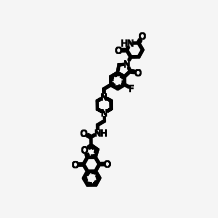 O=C1CCC(N2Cc3cc(CN4CCN(CCNC(=O)c5cc6c(o5)C(=O)c5ccccc5C6=O)CC4)cc(F)c3C2=O)C(=O)N1